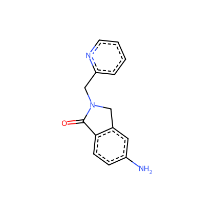 Nc1ccc2c(c1)CN(Cc1ccccn1)C2=O